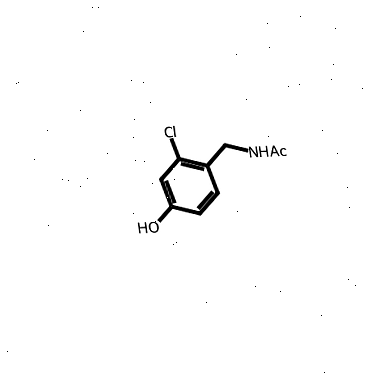 CC(=O)NCc1ccc(O)cc1Cl